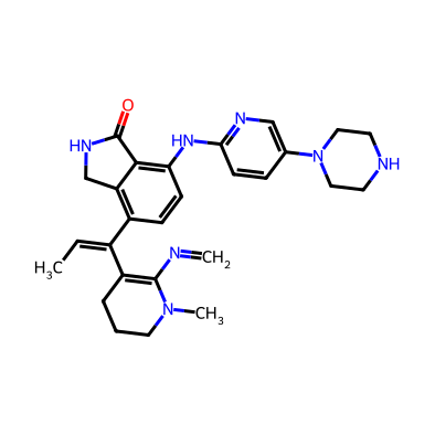 C=NC1=C(/C(=C\C)c2ccc(Nc3ccc(N4CCNCC4)cn3)c3c2CNC3=O)CCCN1C